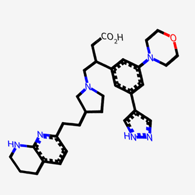 O=C(O)CC(CN1CCC(CCc2ccc3c(n2)NCCC3)C1)c1cc(-c2cn[nH]c2)cc(N2CCOCC2)c1